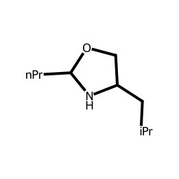 CCCC1NC(CC(C)C)CO1